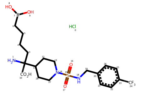 Cl.NC(CCCCB(O)O)(C(=O)O)C1CCN(S(=O)(=O)NCc2ccc(C(F)(F)F)cc2)CC1